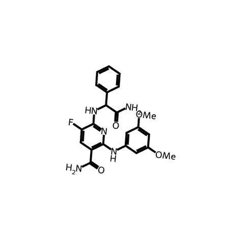 COc1cc(Nc2nc(NC(C(N)=O)c3ccccc3)c(F)cc2C(N)=O)cc(OC)c1